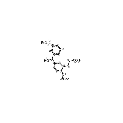 CCCCCCCCCCOc1ccc(C(O)c2cccc(C(=O)OCC)c2)cc1CCC(=O)O